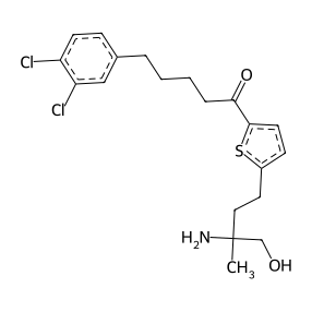 CC(N)(CO)CCc1ccc(C(=O)CCCCc2ccc(Cl)c(Cl)c2)s1